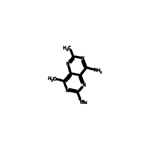 Cc1nc(N)c2nc(C(C)(C)C)nc(C)c2n1